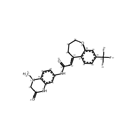 CN1CC(=O)Nc2cc(NC(=O)/C=C3\CCCOc4cc(C(F)(F)F)ccc43)ccc21